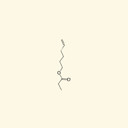 C=CCCCCOC(=O)CC